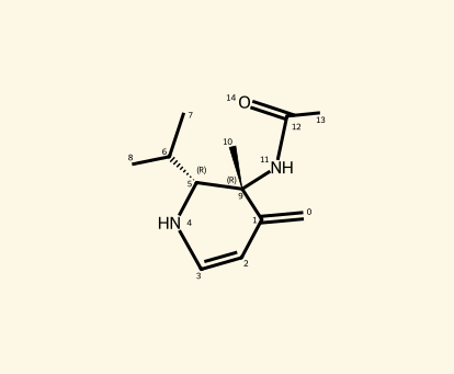 C=C1C=CN[C@H](C(C)C)[C@]1(C)NC(C)=O